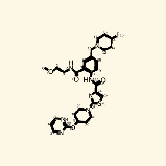 COCCNC(=O)c1cc(CN2CCC(F)CC2)ccc1NC(=O)c1csc(N2CCC(Oc3ncccn3)CC2)n1